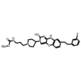 CC(C)(C)OC(=O)NCCCN1CCC(N2C=C3Oc4ccc(CCc5cccc(F)c5)cc4NC3=NC2O)CC1